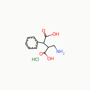 Cl.NCC(C(=O)O)C(C(=O)O)c1ccccc1